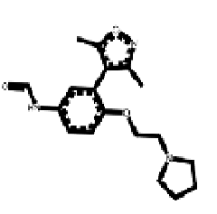 Cc1noc(C)c1-c1cc(NC=O)ccc1OCCN1CCCC1